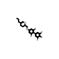 CCCC1=COC(COc2cc(F)c(-c3cc(F)c(F)c(F)c3)c(F)c2)CC1